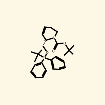 CC(C)(C)OC(=O)N1CCC=C[C@H]1CO[Si](c1ccccc1)(c1ccccc1)C(C)(C)C